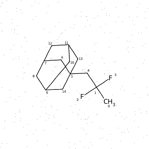 CC(F)(F)CC12CC3CC(CC(C3)C1)C2